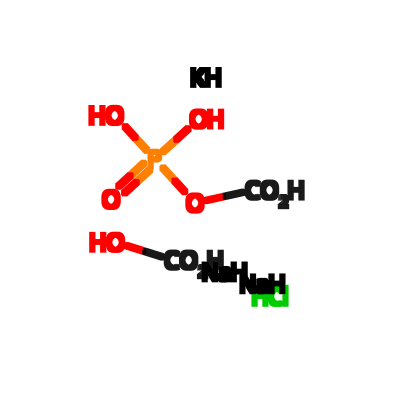 Cl.O=C(O)O.O=C(O)OP(=O)(O)O.[KH].[NaH].[NaH]